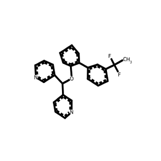 CC(F)(F)c1cccc(-c2ccccc2OC(c2cccnc2)c2cccnc2)c1